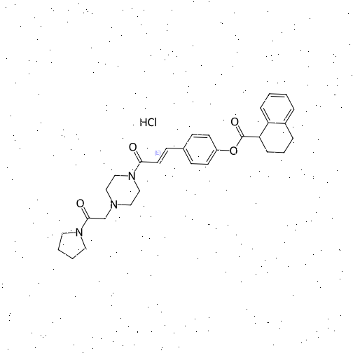 Cl.O=C(Oc1ccc(/C=C/C(=O)N2CCN(CC(=O)N3CCCC3)CC2)cc1)C1CCCc2ccccc21